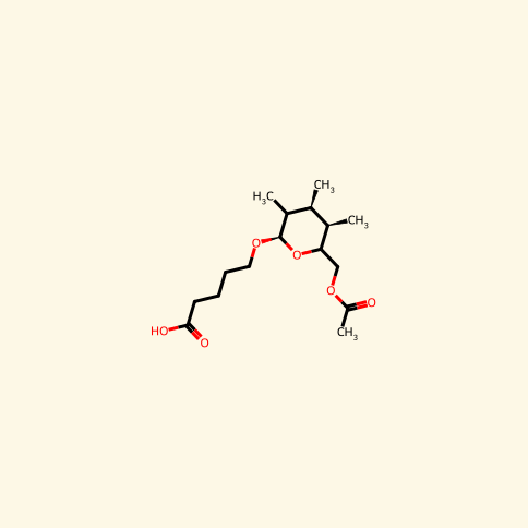 CC(=O)OCC1O[C@@H](OCCCCC(=O)O)C(C)[C@@H](C)[C@H]1C